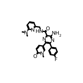 CN(C)c1cccc(CNC(=O)c2nc(-c3ccc(=O)n(C)c3)c(-c3ccc(F)cc3)nc2N)n1